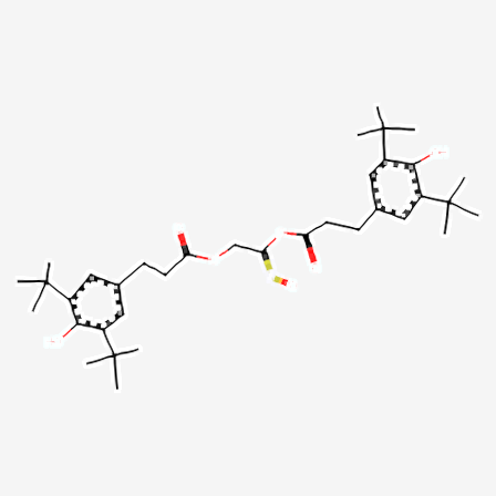 CC(C)(C)c1cc(CCC(=O)OCC(OC(=O)CCc2cc(C(C)(C)C)c(O)c(C(C)(C)C)c2)=S=O)cc(C(C)(C)C)c1O